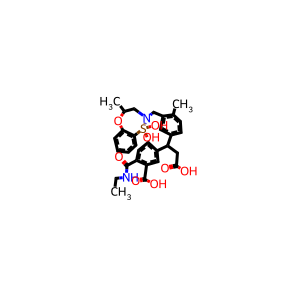 CCNC(=O)c1ccc(C(CC(=O)O)c2ccc(C)c(CN3CC(C)Oc4ccccc4S3(O)O)c2)cc1C(=O)O